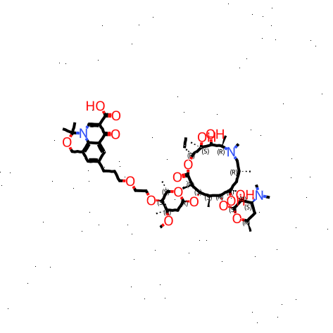 CC[C@H]1OC(=O)[C@H](C)[C@@H](O[C@H]2C[C@@](C)(OC)[C@@H](OCCOCCCc3cc4c5c(c3)c(=O)c(C(=O)O)cn5C(C)(C)OC4)[C@H](C)O2)[C@H](C)[C@@H](O[C@@H]2O[C@H](C)C[C@H](N(C)C)[C@H]2O)[C@](C)(O)C[C@@H](C)CN(C)[C@H](C)C(O)[C@]1(C)O